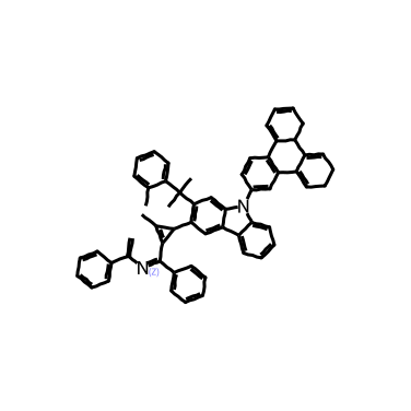 C=C(/N=C(\C1=C(C)C1c1cc2c3ccccc3n(-c3ccc4c(c3)C3=CCCC=C3C3CC=CC=C43)c2cc1C(C)(C)c1ccccc1C)c1ccccc1)c1ccccc1